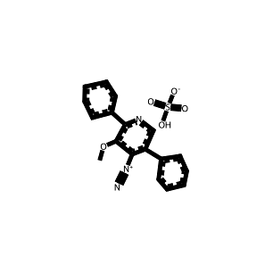 COc1c(-c2ccccc2)ncc(-c2ccccc2)c1[N+]#N.O=S(=O)([O-])O